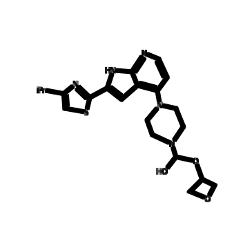 CC(C)c1csc(-c2cc3c(N4CCN(C(O)OC5COC5)CC4)ccnc3[nH]2)n1